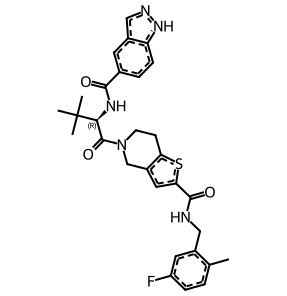 Cc1ccc(F)cc1CNC(=O)c1cc2c(s1)CCN(C(=O)[C@H](NC(=O)c1ccc3[nH]ncc3c1)C(C)(C)C)C2